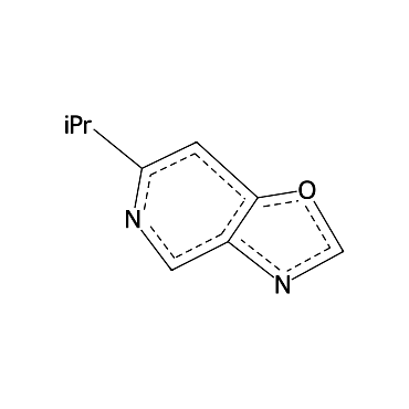 CC(C)c1cc2ocnc2cn1